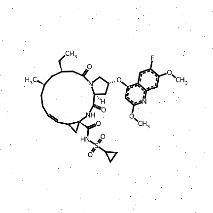 CC[C@H]1CC(=O)N2C[C@H](Oc3cc(OC)nc4cc(OC)c(F)cc34)C[C@H]2C(=O)N[C@]2(C(=O)NS(=O)(=O)C3CC3)CC2/C=C\CC[C@@H](C)C1